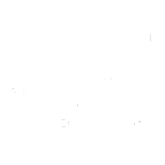 CCOC(CCOC(C)=O)COCC(CCOC(C)=O)OCC